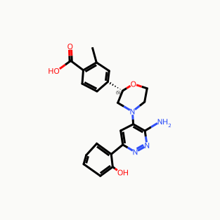 Cc1cc([C@H]2CN(c3cc(-c4ccccc4O)nnc3N)CCO2)ccc1C(=O)O